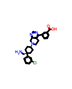 NC[C@]1(c2cccc(Cl)c2)CC[C@H](N2CCc3c(ncnc3-c3cccc(C(=O)O)c3)C2)CC1